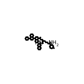 CC1=CC=C(C(N)CCCCC(CCC(C)C2C=CC(C3C=CC(C4C=CCCC4)C4CCCCC34)C3CCC=CC23)C(C)NC2=CC3=C(CCC=C3)CC2)C=CC1